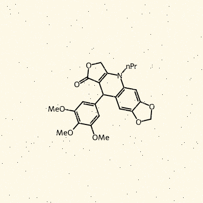 CCCN1C2=C(C(=O)OC2)C(c2cc(OC)c(OC)c(OC)c2)c2cc3c(cc21)OCO3